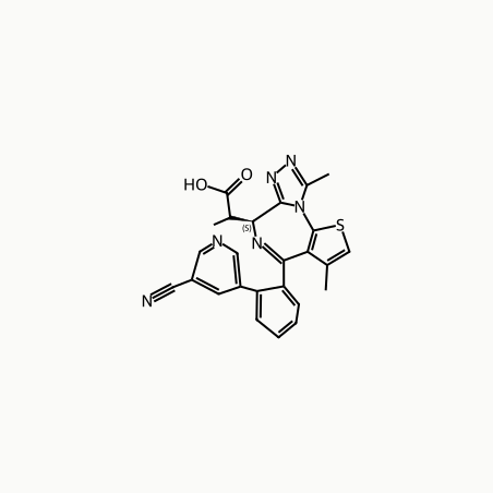 Cc1csc2c1C(c1ccccc1-c1cncc(C#N)c1)=N[C@@H](C(C)C(=O)O)c1nnc(C)n1-2